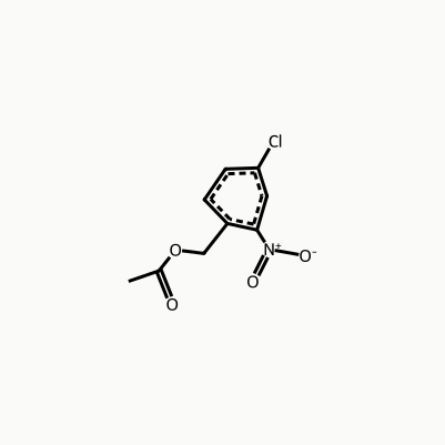 CC(=O)OCc1ccc(Cl)cc1[N+](=O)[O-]